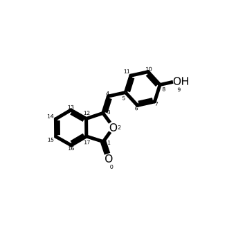 O=C1OC(=Cc2ccc(O)cc2)c2ccccc21